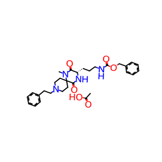 CC(=O)O.CN1C(=O)[C@H](CCCNC(=O)OCc2ccccc2)NC(=O)C12CCN(CCc1ccccc1)CC2